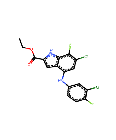 CCOC(=O)c1cc2c(Nc3ccc(F)c(Cl)c3)cc(Cl)c(F)c2[nH]1